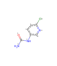 NC(=O)Nc1ccc(Cl)nc1